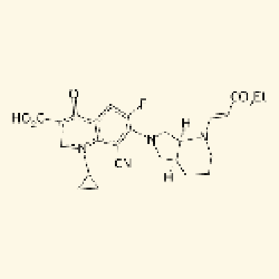 CCOC(=O)C=CN1CCC[C@H]2CN(c3c(F)cc4c(=O)c(C(=O)O)cn(C5CC5)c4c3C#N)C[C@H]21